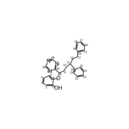 Oc1ccccc1OC(CCC(CCc1ccccc1)c1ccccc1)c1ncncn1